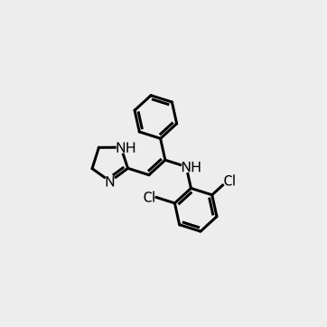 Clc1cccc(Cl)c1N/C(=C/C1=NCCN1)c1ccccc1